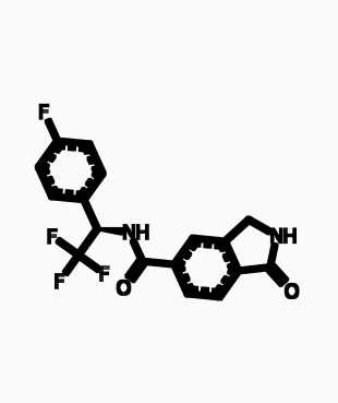 O=C(N[C@H](c1ccc(F)cc1)C(F)(F)F)c1ccc2c(c1)CNC2=O